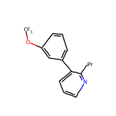 CC(C)c1ncccc1-c1cccc(OC(F)(F)F)c1